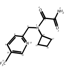 NC(=O)C(=O)N(Cc1ccc(C(F)(F)F)cn1)C1CCC1